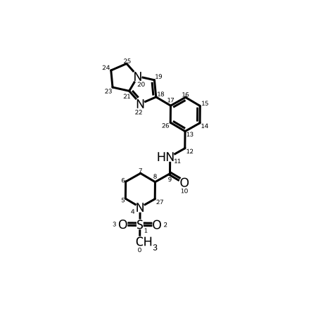 CS(=O)(=O)N1CCCC(C(=O)NCc2cccc(-c3cn4c(n3)CCC4)c2)C1